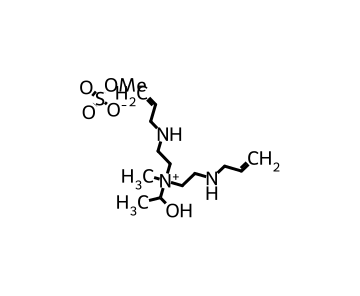 C=CCNCC[N+](C)(CCNCC=C)C(C)O.COS(=O)(=O)[O-]